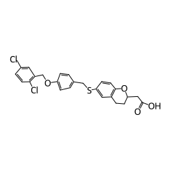 O=C(O)CC1CCc2cc(SCc3ccc(OCc4cc(Cl)ccc4Cl)cc3)ccc2O1